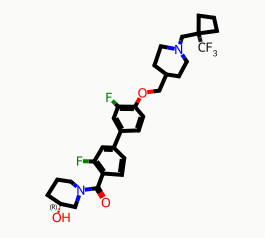 O=C(c1ccc(-c2ccc(OCC3CCN(CC4(C(F)(F)F)CCC4)CC3)c(F)c2)cc1F)N1CCC[C@@H](O)C1